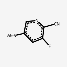 CSc1cnc(C#N)c(F)c1